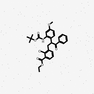 CCOC(=O)c1cccc(CC(C(=O)c2ccccc2)c2ccc(OC)cc2NC(=O)OC(C)(C)C)c1Cl